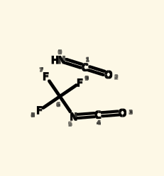 N=C=O.O=C=NC(F)(F)F